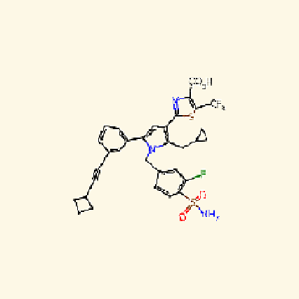 NS(=O)(=O)c1ccc(Cn2c(-c3cccc(C#CC4CCC4)c3)cc(-c3nc(C(=O)O)c(C(F)(F)F)s3)c2CC2CC2)cc1F